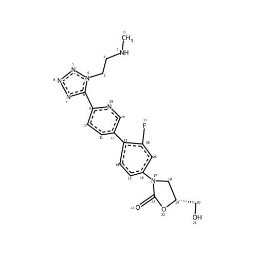 CNCCn1nnnc1-c1ccc(-c2ccc(N3C[C@H](CO)OC3=O)cc2F)cn1